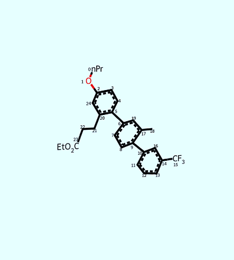 CCCOc1ccc(-c2ccc(-c3cccc(C(F)(F)F)c3)c(C)c2)c(CCC(=O)OCC)c1